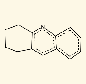 [C]1CCCc2nc3ccccc3cc21